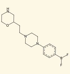 FB(F)c1ccc(N2CCN(CCC3CNCCO3)CC2)cc1